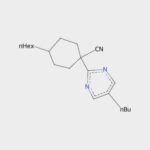 CCCCCCC1CCC(C#N)(c2ncc(CCCC)cn2)CC1